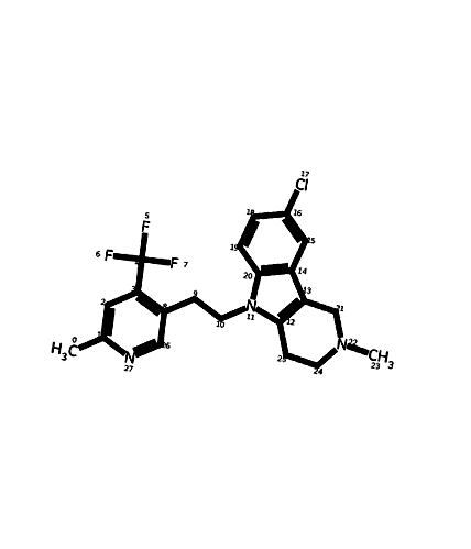 Cc1cc(C(F)(F)F)c(CCn2c3c(c4cc(Cl)ccc42)CN(C)CC3)cn1